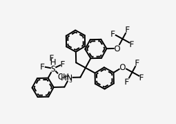 C[SH](F)(F)(F)c1ccccc1CNCC(Cc1ccccc1)(c1cccc(OC(F)(F)F)c1)c1cccc(OC(F)(F)F)c1